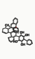 Cc1cc2ccccc2cc1C1=C(c2c3ccccc3c(-c3c(O)c(O)c(-c4ccccc4)c(O)c3O)c3ccccc23)C=CCC1C